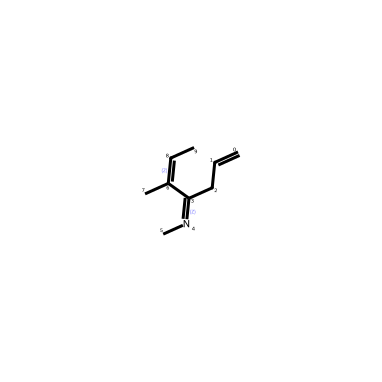 C=CCC(=N/C)/C(C)=C\C